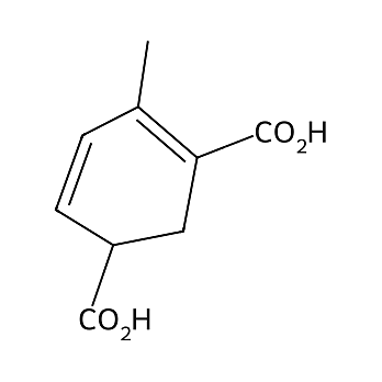 CC1=C(C(=O)O)CC(C(=O)O)C=C1